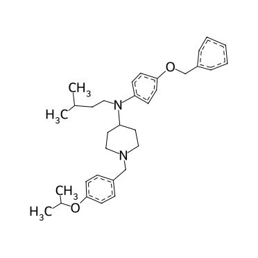 CC(C)CCN(c1ccc(OCc2ccccc2)cc1)C1CCN(Cc2ccc(OC(C)C)cc2)CC1